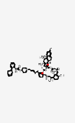 CC[N+](CC)(CC(=O)OCC(=O)[C@@]12O[C@H](C3CCCCC3)OC1CC1[C@@H]3CCC4=CC(=O)C=C[C@]4(C)C3[C@@H](O)C[C@@]12C)Cc1cc([C@@H](O)CNCCCCCCCCCN2CCC(OC(=O)Nc3ccccc3-c3ccccc3)CC2)ccc1O